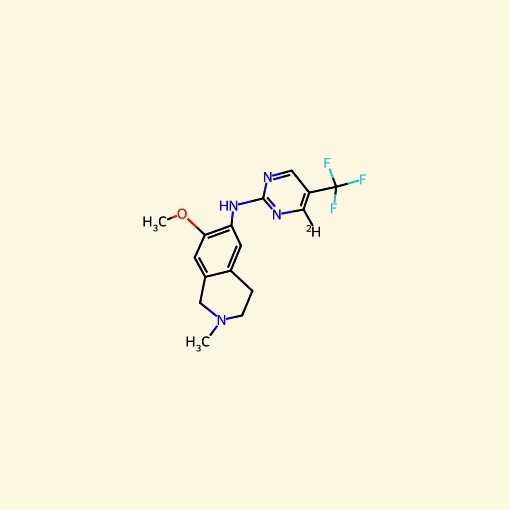 [2H]c1nc(Nc2cc3c(cc2OC)CN(C)CC3)ncc1C(F)(F)F